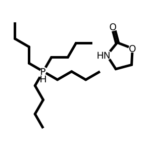 CCCC[PH](CCCC)(CCCC)CCCC.O=C1NCCO1